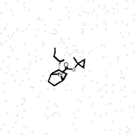 CCC(C)[C@@H]1CC2CCC1N2C(=O)OC1(C)CC1